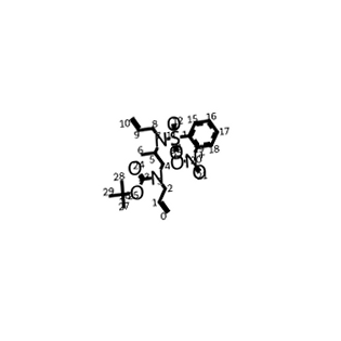 C=CCN(CC(C)N(CC=C)S(=O)(=O)c1ccccc1[N+](=O)[O-])C(=O)OC(C)(C)C